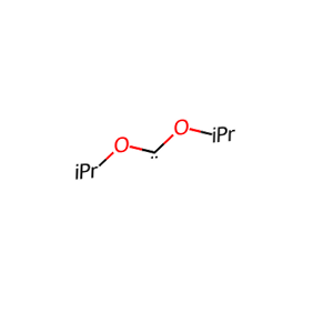 CC(C)O[C]OC(C)C